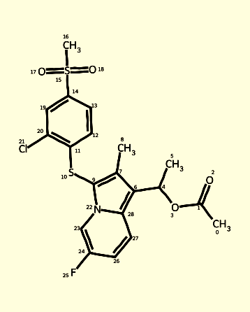 CC(=O)OC(C)c1c(C)c(Sc2ccc(S(C)(=O)=O)cc2Cl)n2cc(F)ccc12